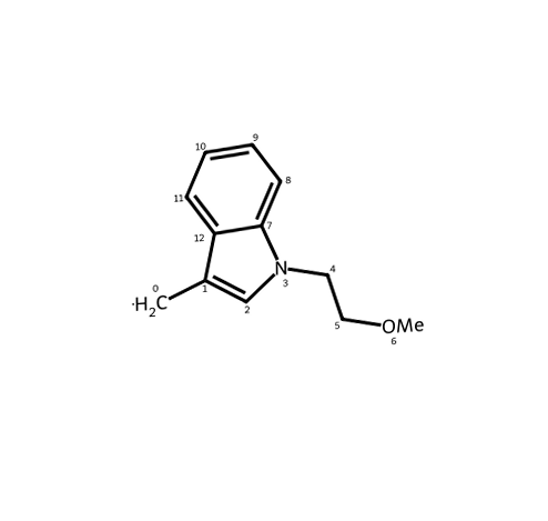 [CH2]c1cn(CCOC)c2ccccc12